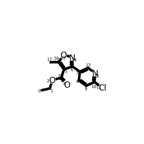 CCOC(=O)c1c(-c2ccc(Cl)nc2)noc1C